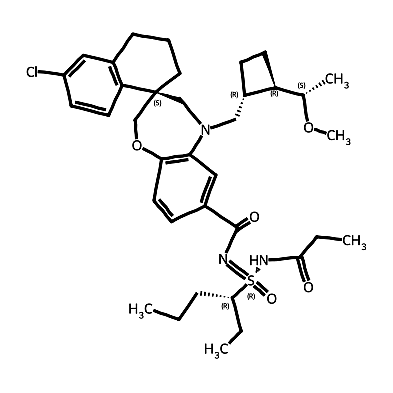 CCC[C@@H](CC)[S@](=O)(=NC(=O)c1ccc2c(c1)N(C[C@@H]1CC[C@H]1[C@H](C)OC)C[C@@]1(CCCc3cc(Cl)ccc31)CO2)NC(=O)CC